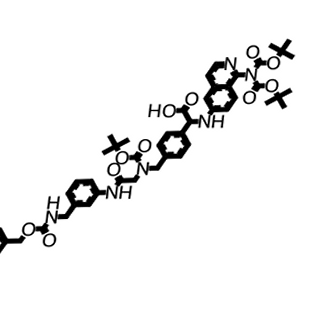 CC(C)(C)OC(=O)N(CC(=O)Nc1cccc(CNC(=O)OCc2ccccc2)c1)Cc1ccc(C(Nc2ccc3c(N(C(=O)OC(C)(C)C)C(=O)OC(C)(C)C)nccc3c2)C(=O)O)cc1